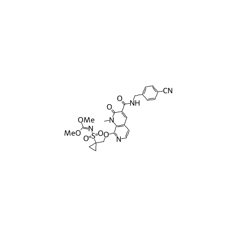 COC(=NS(=O)(=O)C1(COc2nccc3cc(C(=O)NCc4ccc(C#N)cc4)c(=O)n(C)c23)CC1)OC